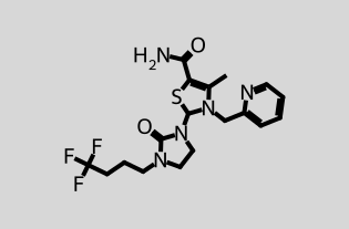 CC1=C(C(N)=O)SC(N2CCN(CCCC(F)(F)F)C2=O)N1Cc1ccccn1